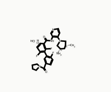 C[C@@H]1C[C@H](N)CN(c2ccncc2NC(=O)c2ccc(F)c(-c3cc(C(=O)N4CCCC4)ccc3F)c2F)C1.Cl.Cl